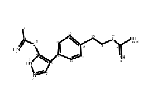 CC(=N)Sc1[nH]ncc1-c1ccc(CCSC(=N)N)cc1